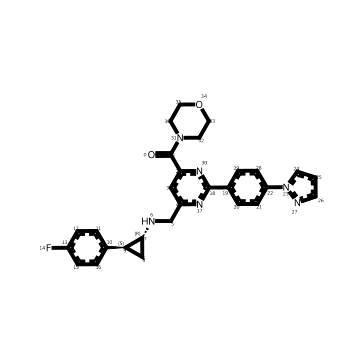 O=C(c1cc(CN[C@@H]2C[C@H]2c2ccc(F)cc2)nc(-c2ccc(-n3cccn3)cc2)n1)N1CCOCC1